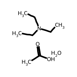 CC(=O)O.CCN(CC)CC.O